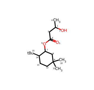 CC(O)CC(=O)OC1CC(C)(C)CCC1C(C)(C)C